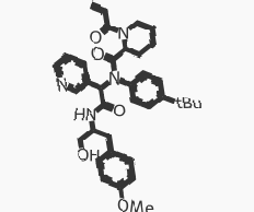 C=CC(=O)N1CCCCC1C(=O)N(c1ccc(C(C)(C)C)cc1)C(C(=O)NC(CO)Cc1ccc(OC)cc1)c1cccnc1